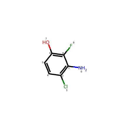 Nc1c(Cl)ccc(O)c1F